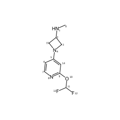 CNC1CN(c2ccnc(OC(F)F)c2)C1